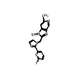 CCn1c(Cn2ccnc2-c2cccc(F)n2)nc2cnc(C)cc21